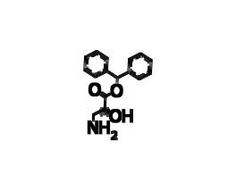 NC[C@H](O)C(=O)OC(c1ccccc1)c1ccccc1